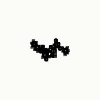 O=C1CC(NC(=O)[C@H]2CNCN3C(=O)CCC(NS(=O)(=O)c4ccc5ccccc5c4)[N+]3([O-])C2)C(OCc2ccccc2)O1